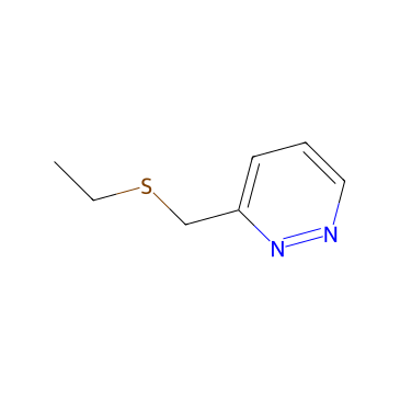 CCSCc1cccnn1